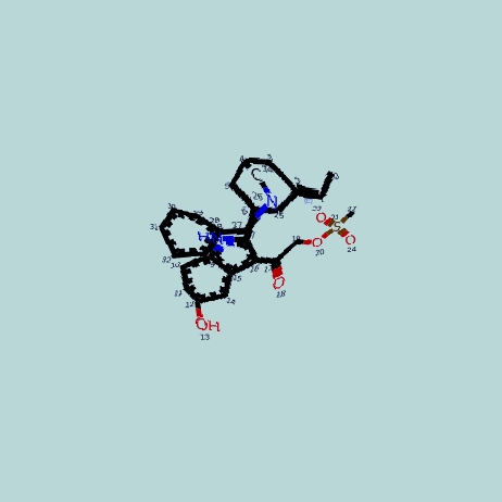 C/C=C1\CC2CC(c3[nH]c4ccc(O)cc4c3C(=O)COS(C)(=O)=O)C1N(Cc1ccccc1)C2